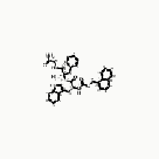 C[C@](Cc1ccccc1)(NC(=O)[C@H](Cc1c[nH]c2ccccc12)NC(=O)OCc1cccc2ccccc12)C(=O)NCC(N)=O